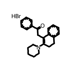 Br.O=C(CC1=C(N2CCCCC2)CCc2ccccc21)c1ccccc1